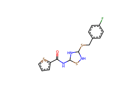 O=C(NC1NC(SCc2ccc(F)cc2)NS1)c1cccs1